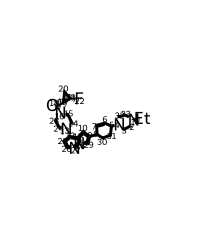 CCN1CCN(C2C=CC(c3cc4c(N5CCN(C(=O)[C@H]6C[C@H]6F)CC5)ccnn4c3)CC2)CC1